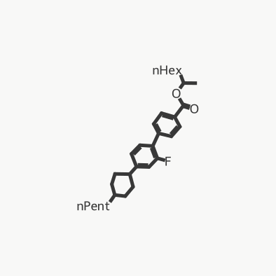 CCCCCCC(C)OC(=O)c1ccc(-c2ccc(C3CCC(CCCCC)CC3)cc2F)cc1